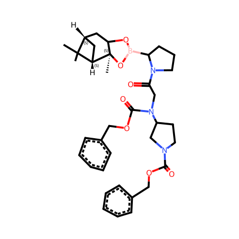 CC1(C)[C@@H]2CC3OB(C4CCCN4C(=O)CN(C(=O)OCc4ccccc4)C4CCN(C(=O)OCc5ccccc5)C4)O[C@@]3(C)[C@H]1C2